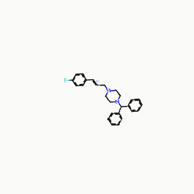 Fc1ccc(/C=C/CN2CCN(C(c3ccccc3)c3ccccc3)CC2)cc1